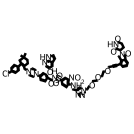 CC1(C)CCC(CN2CCN(c3ccc(C(=O)NS(=O)(=O)c4ccc(NCc5cn(CCOCCOCCOCC#Cc6cccc7c6CN(C6CCC(=O)NC6=O)C7=O)nn5)c([N+](=O)[O-])c4)c(Oc4cnc5[nH]ccc5c4)c3)CC2)=C(c2ccc(Cl)cc2)C1